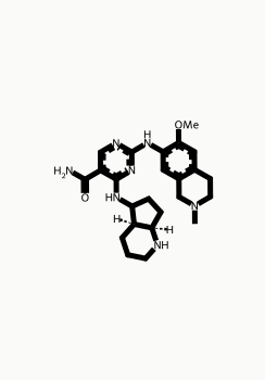 COc1cc2c(cc1Nc1ncc(C(N)=O)c(NC3CC[C@H]4NCCC[C@@H]34)n1)CN(C)CC2